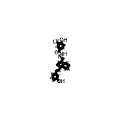 O=C(N/N=C/c1ccc(/C=C/c2cccc(O)c2)c2ccccc12)c1ccc(O)c(Cl)c1